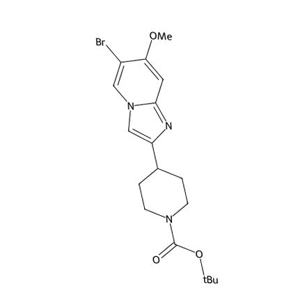 COc1cc2nc(C3CCN(C(=O)OC(C)(C)C)CC3)cn2cc1Br